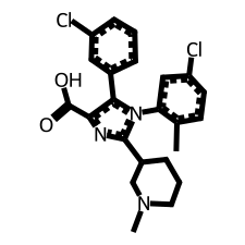 Cc1ccc(Cl)cc1-n1c(C2CCCN(C)C2)nc(C(=O)O)c1-c1cccc(Cl)c1